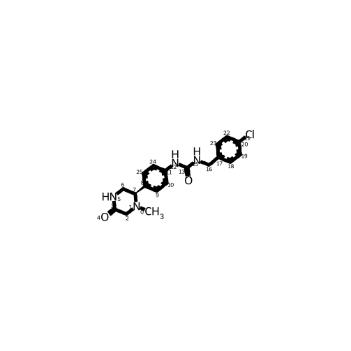 CN1CC(=O)NC[C@H]1c1ccc(NC(=O)NCc2ccc(Cl)cc2)cc1